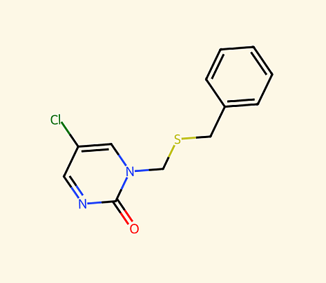 O=c1ncc(Cl)cn1CSCc1ccccc1